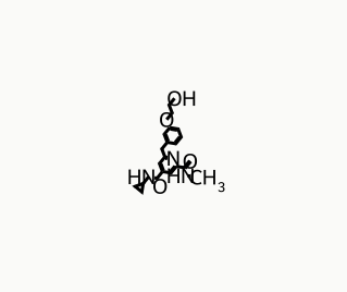 CNC(=O)c1cc(C(=O)NC2CC2)cc(Cc2cccc(OCCO)c2)n1